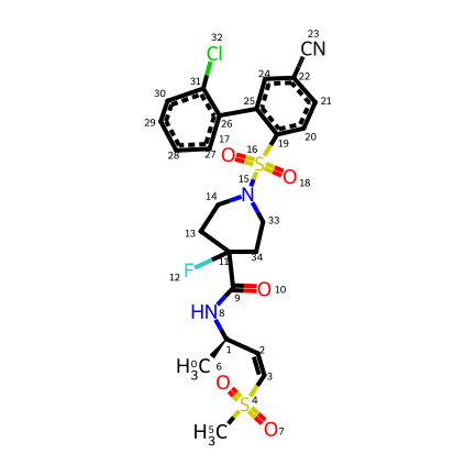 C[C@H](/C=C\S(C)(=O)=O)NC(=O)C1(F)CCN(S(=O)(=O)c2ccc(C#N)cc2-c2ccccc2Cl)CC1